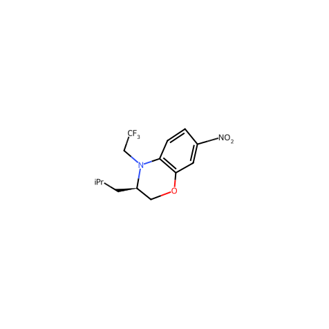 CC(C)C[C@@H]1COc2cc([N+](=O)[O-])ccc2N1CC(F)(F)F